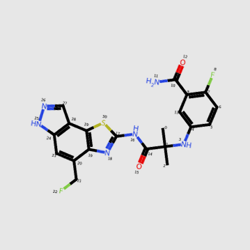 CC(C)(Nc1ccc(F)c(C(N)=O)c1)C(=O)Nc1nc2c(CF)cc3[nH]ncc3c2s1